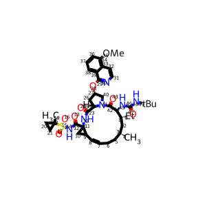 CC[C@@H]1C[C@H](C)CC/C=C\C2CC2(C(=O)NS(=O)(=O)C2(C)CC2)NC(=O)[C@@H]2C[C@@H](Oc3nccc4c(OC)cccc34)CN2C(=O)[C@H]1NC(=O)NC(C)(C)C